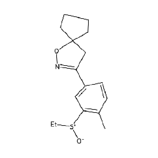 CC[S+]([O-])c1cc(C2=NOC3(CCCC3)C2)ccc1C